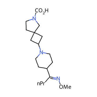 CCCC(=NOC)C1CCN(C2CC3(CCN(C(=O)O)C3)C2)CC1